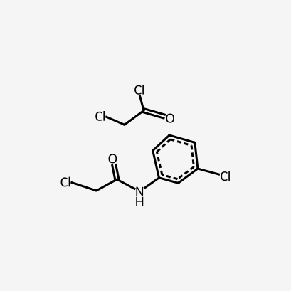 O=C(CCl)Nc1cccc(Cl)c1.O=C(Cl)CCl